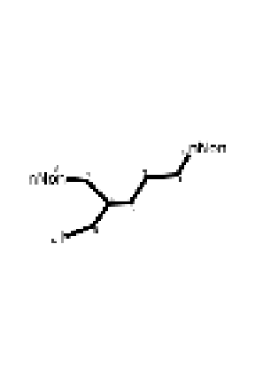 CCCCCCCCCCCCC([CH]I)CCCCCCCCCC